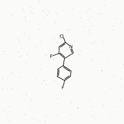 Fc1ccc(-c2cnc(Cl)cc2F)cc1